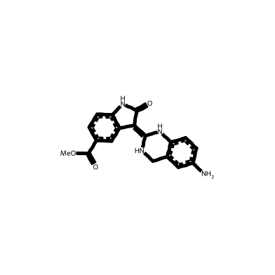 COC(=O)c1ccc2c(c1)/C(=C1\NCc3cc(N)ccc3N1)C(=O)N2